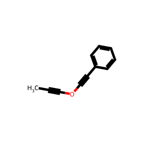 CC#COC#Cc1ccccc1